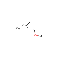 CCCCCC(C)CCOCC